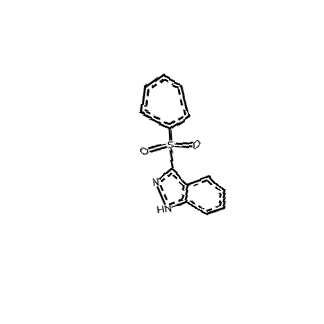 O=S(=O)(c1ccccc1)c1n[nH]c2ccccc12